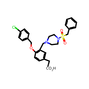 O=C(O)Cc1ccc(OCc2ccc(Cl)cc2)c(CN2CCN(S(=O)(=O)Cc3ccccc3)CC2)c1